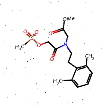 COC(=O)CN(CCc1c(C)cccc1C)C(=O)COS(C)(=O)=O